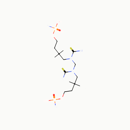 CC(C)(CCOP(N)(=O)O)CN(CN(CC(C)(C)CCOP(N)(=O)O)C(N)=S)C(N)=S